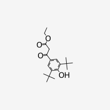 CCOC(=O)CC(=O)c1cc(C(C)(C)C)c(O)c(C(C)(C)C)c1